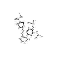 COC(=O)c1ccc(C(Cc2cccnc2)c2ccc(OC(F)F)c(OC(F)F)c2)cn1